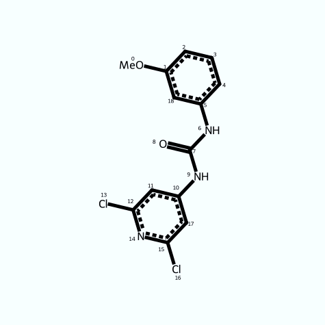 COc1cccc(NC(=O)Nc2cc(Cl)nc(Cl)c2)c1